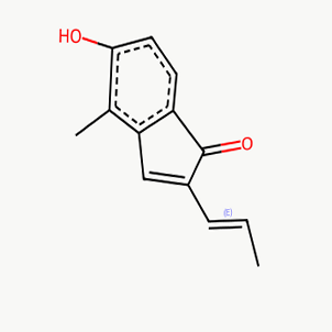 C/C=C/C1=Cc2c(ccc(O)c2C)C1=O